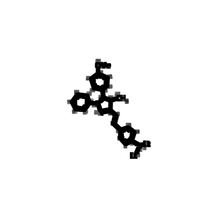 CCN(CC)c1ccc(C=CC2=NN(c3ccccc3)C(c3ccc(OC)cc3)C2C)cc1